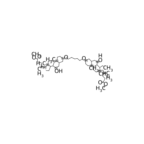 CCC1C2C(CC[C@]1(C)C[C@H](C)CCC(=O)OC)[C@@]1(C)CC[C@@H](OCCCCCO[C@H]3CC[C@@]4(C)C(C3)C[C@H](O)C3C4CC[C@@]4(C)C3CC[C@@H]4[C@H](C)CCC(=O)OC)CC1C[C@H]2O